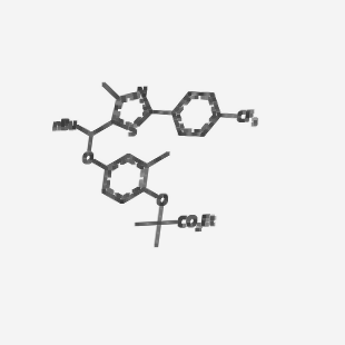 CCCCC(Oc1ccc(OC(C)(C)C(=O)OCC)c(C)c1)c1sc(-c2ccc(C(F)(F)F)cc2)nc1C